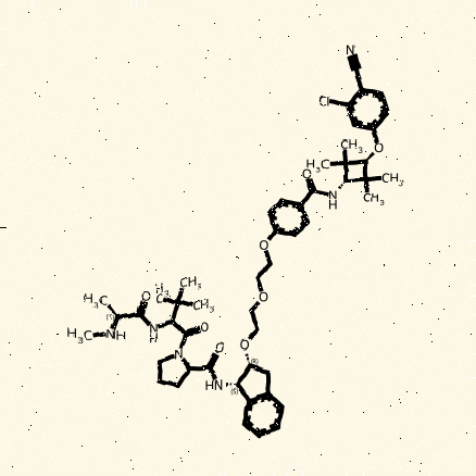 CN[C@@H](C)C(=O)NC(C(=O)N1CCCC1C(=O)N[C@H]1c2ccccc2C[C@H]1OCCOCCOc1ccc(C(=O)N[C@H]2C(C)(C)[C@H](Oc3ccc(C#N)c(Cl)c3)C2(C)C)cc1)C(C)(C)C